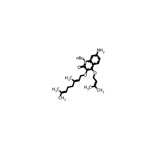 CCCCn1c(=O)c(OC/C=C(\C)CCC=C(C)C)c(OCC=C(C)C)c2ccc(N)cc21